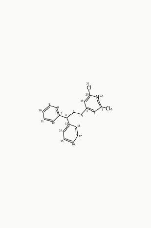 Clc1cc(CCC(c2ccccc2)c2ccccc2)cc(Cl)n1